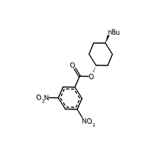 CCCC[C@H]1CC[C@H](OC(=O)c2cc([N+](=O)[O-])cc([N+](=O)[O-])c2)CC1